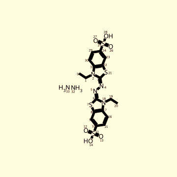 CCn1c(=NN=c2sc3cc(S(=O)(=O)O)ccc3n2CC)sc2cc(S(=O)(=O)O)ccc21.N.N